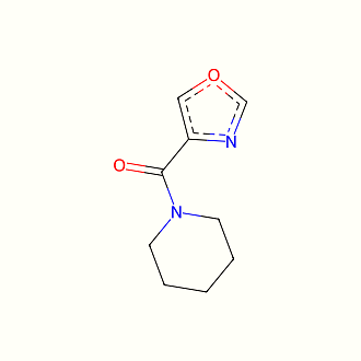 O=C(c1cocn1)N1CCCCC1